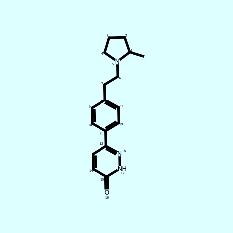 CC1CCCN1CCc1ccc(-c2ccc(=O)[nH]n2)cc1